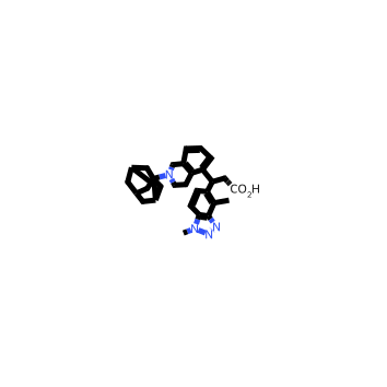 Cc1c(C(CC(=O)O)c2cccc3c2CCN(C24CC5CC(CC(C5)C2)C4)C3)ccc2c1nnn2C